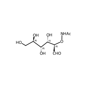 CC(=O)NO[C@@H](C=O)[C@@H](O)[C@H](O)[C@H](O)CO